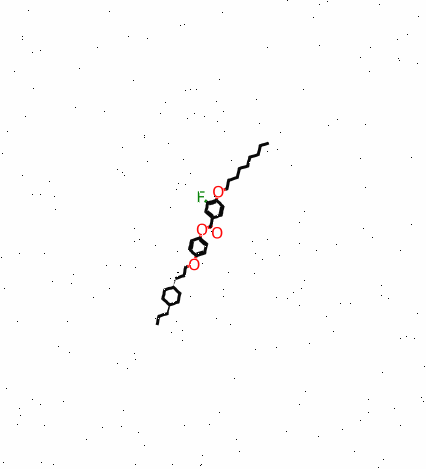 CCCCCCCCCOc1ccc(C(=O)Oc2ccc(OCCC[C@H]3CC[C@H](CCC)CC3)cc2)cc1F